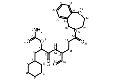 NC(=O)OC(CC1CCCCC1)C(=O)NC(C=O)CCC(=O)N1CCOc2ccccc2C1